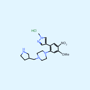 COc1cc(N2CCN(CC3CCNC3)CC2)c(-c2cnn(C)c2)cc1[N+](=O)[O-].Cl